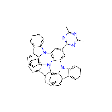 Cc1nc(C)nc(-c2cc(-n3c4ccccc4c4ccccc43)c(-n3c4ccccc4c4ccccc43)c(-n3c4ccccc4c4ccccc43)c2)n1